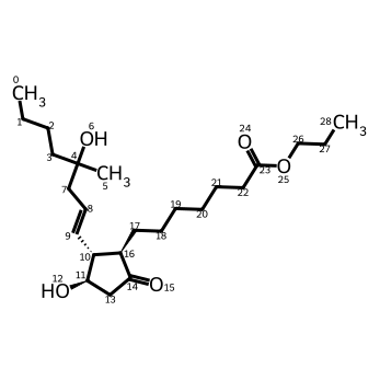 CCCCC(C)(O)C/C=C/[C@H]1[C@H](O)CC(=O)[C@@H]1CCCCCCC(=O)OCCC